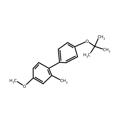 COc1ccc(-c2ccc(OC(C)(C)C)cc2)c(C)c1